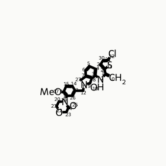 C=C(Nc1cccc2c1C(=O)N(Cc1ccc(OC)c(N3CCOCC3=O)c1)C2)c1ccc(Cl)s1